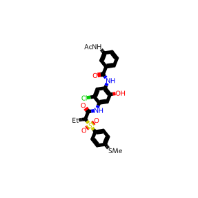 CCC(C(=O)Nc1cc(O)c(NC(=O)c2cccc(NC(C)=O)c2)cc1Cl)S(=O)(=O)c1ccc(SC)cc1